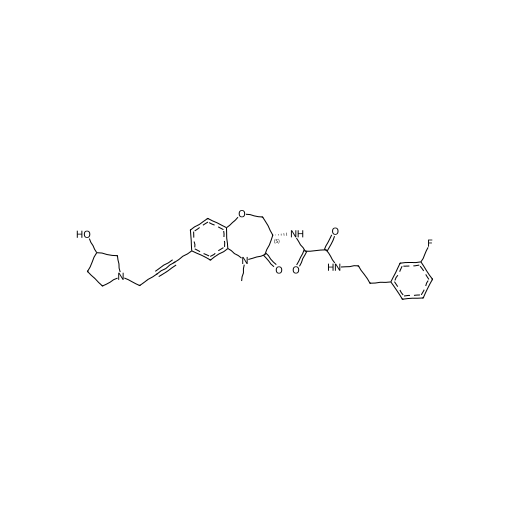 CN1C(=O)[C@@H](NC(=O)C(=O)NCCc2cccc(F)c2)COc2ccc(C#CCN3CCC(O)C3)cc21